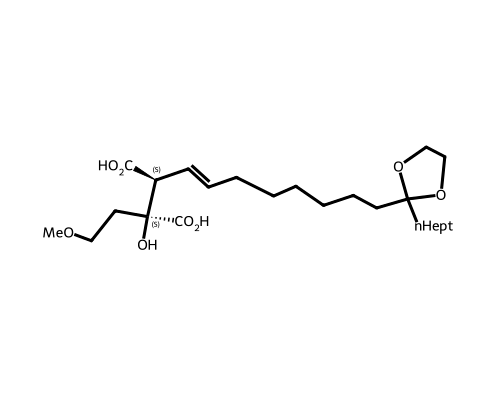 CCCCCCCC1(CCCCCCC=C[C@H](C(=O)O)[C@@](O)(CCOC)C(=O)O)OCCO1